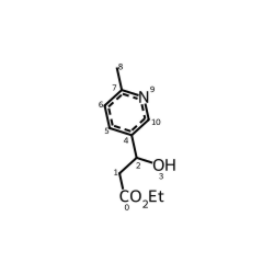 CCOC(=O)CC(O)c1ccc(C)nc1